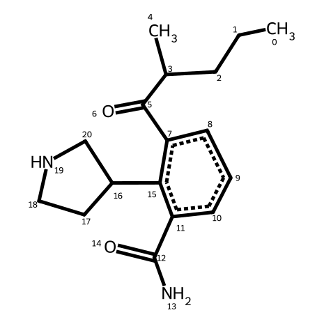 CCCC(C)C(=O)c1cccc(C(N)=O)c1C1CCNC1